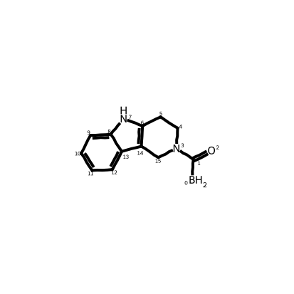 BC(=O)N1CCc2[nH]c3ccccc3c2C1